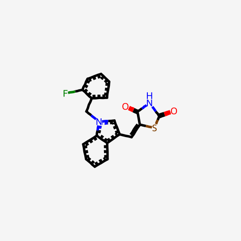 O=C1NC(=O)C(=Cc2cn(Cc3ccccc3F)c3ccccc23)S1